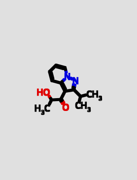 CC(O)C(=O)c1c(C(C)C)nn2ccccc12